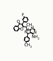 Cc1ccc(-c2nn(C(C)c3oc4ccccc4c(=O)c3-c3cccc(F)c3)c3ncnc(N)c23)cc1